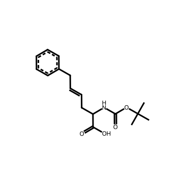 CC(C)(C)OC(=O)NC(CC=CCc1ccccc1)C(=O)O